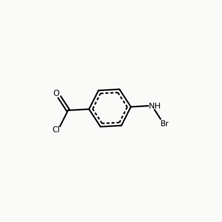 O=C(Cl)c1ccc(NBr)cc1